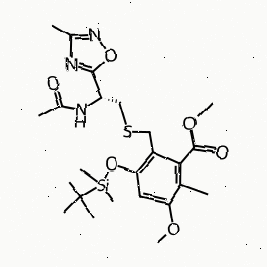 COC(=O)c1c(C)c(OC)cc(O[Si](C)(C)C(C)(C)C)c1CSC[C@H](NC(C)=O)c1nc(C)no1